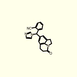 N#Cc1ccccc1C(c1cc2c3c(c1)CCN3C(=O)CC2)n1ccnc1